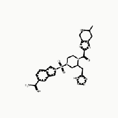 CC1Cc2nc(C(=O)N3CCN(S(=O)(=O)n4cc5ccc(C(=N)N)cc5c4)CC3Cc3nnn[nH]3)sc2CN1